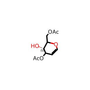 CC(=O)OCC1OC=CC(OC(C)=O)[C@@H]1O